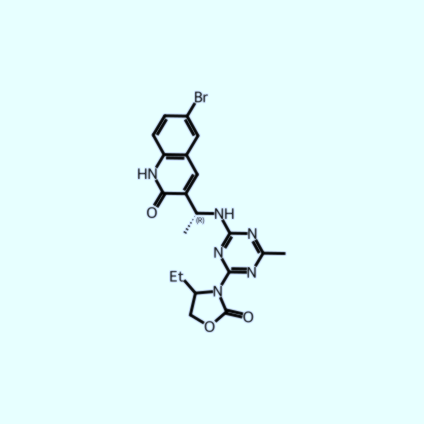 CCC1COC(=O)N1c1nc(C)nc(N[C@H](C)c2cc3cc(Br)ccc3[nH]c2=O)n1